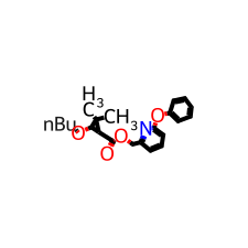 CCCCOC1C(C(=O)OCc2cccc(Oc3ccccc3)n2)C1(C)C